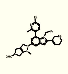 CCc1ccc(-c2cc(N3CC4=C(CN(C=O)C4)N3C)cc3cc(C4=CCCNC4)n(CC(C)C)c23)c(C)n1